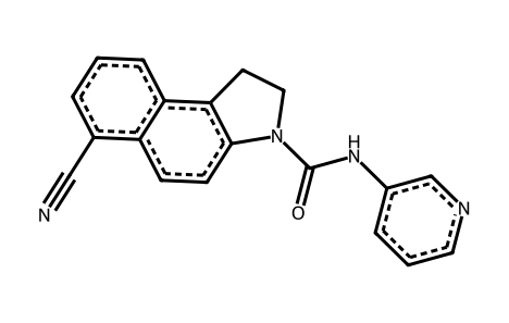 N#Cc1cccc2c3c(ccc12)N(C(=O)Nc1cccnc1)CC3